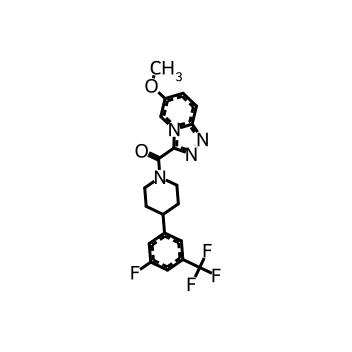 COc1ccc2nnc(C(=O)N3CCC(c4cc(F)cc(C(F)(F)F)c4)CC3)n2c1